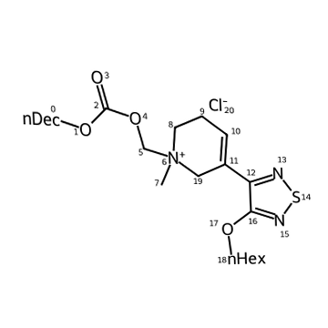 CCCCCCCCCCOC(=O)OC[N+]1(C)CCC=C(c2nsnc2OCCCCCC)C1.[Cl-]